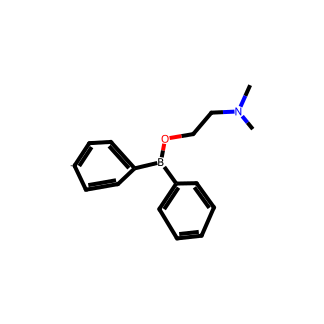 CN(C)CCOB(c1cc[c]cc1)c1ccccc1